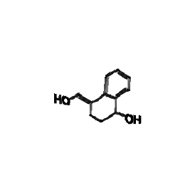 OC=C1CCC(O)c2ccccc21